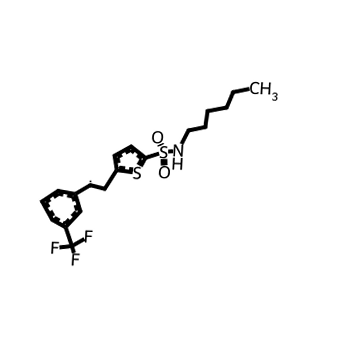 CCCCCCNS(=O)(=O)c1ccc(C[CH]c2cccc(C(F)(F)F)c2)s1